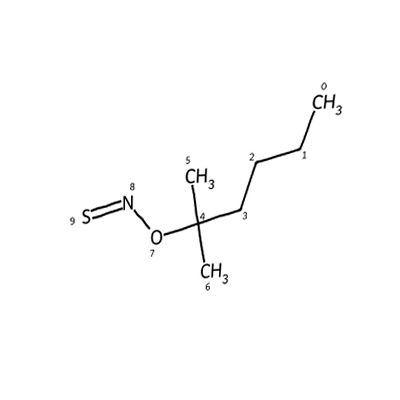 CCCCC(C)(C)ON=S